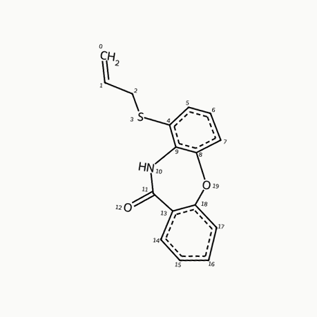 C=CCSc1cccc2c1NC(=O)c1ccccc1O2